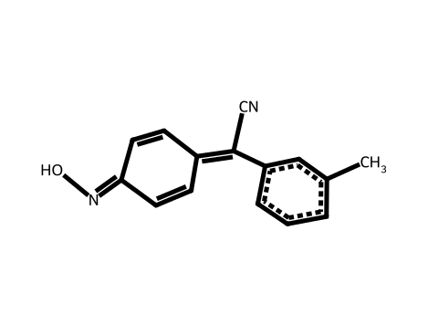 Cc1cccc(C(C#N)=C2C=CC(=NO)C=C2)c1